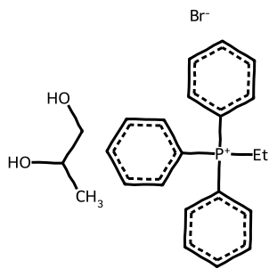 CC(O)CO.CC[P+](c1ccccc1)(c1ccccc1)c1ccccc1.[Br-]